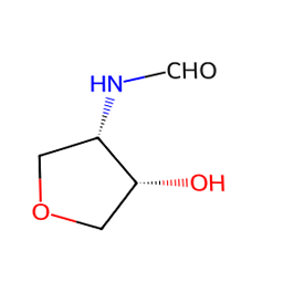 O=CN[C@H]1COC[C@H]1O